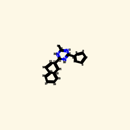 Cc1nc(-c2ccccc2)nc(-c2ccc3ccccc3c2)n1